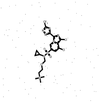 C[Si](C)(C)CCOCN(C1CC1)S(=O)(=O)c1cc(Cl)c2c(Cl)nc(-c3nnc(C(F)(F)F)s3)n2c1